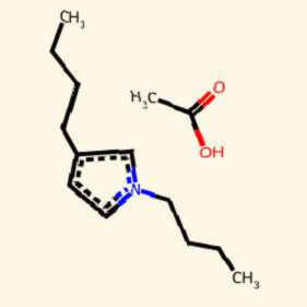 CC(=O)O.CCCCc1ccn(CCCC)c1